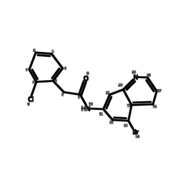 O=C(Cc1ccccc1Cl)Nc1cc(Br)c2cccnc2c1